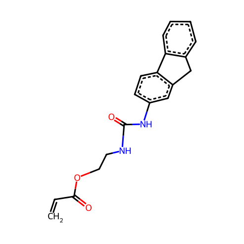 C=CC(=O)OCCNC(=O)Nc1ccc2c(c1)Cc1ccccc1-2